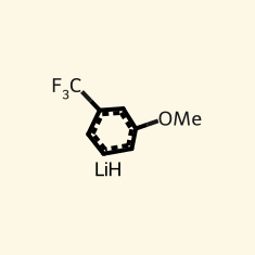 COc1cccc(C(F)(F)F)c1.[LiH]